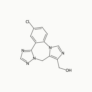 OCc1ncn2c1Cn1ncnc1-c1cc(Cl)ccc1-2